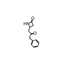 O=C1CC(CC(=O)Sc2ccccc2)N1